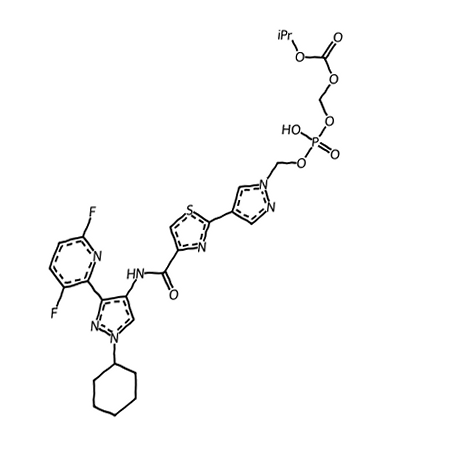 CC(C)OC(=O)OCOP(=O)(O)OCn1cc(-c2nc(C(=O)Nc3cn(C4CCCCC4)nc3-c3nc(F)ccc3F)cs2)cn1